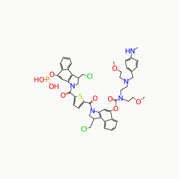 CNc1ccc(CN(CCOC)CCN(CCOC)C(=O)Oc2cc3c(c4ccccc24)C(CCl)CN3C(=O)c2ccc(C(=O)N3CC(CCl)c4c3cc(OP(O)O)c3ccccc43)s2)cc1